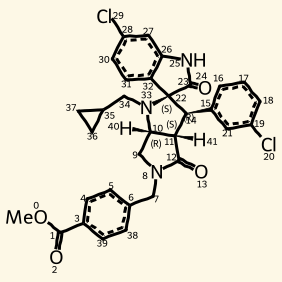 COC(=O)c1ccc(CN2C[C@H]3[C@@H](C2=O)[C@H](c2cccc(Cl)c2)[C@]2(C(=O)Nc4cc(Cl)ccc42)N3CC2CC2)cc1